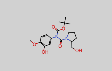 COc1ccc(N(C(=O)OC(C)(C)C)C(=O)N2CCCC2CO)cc1O